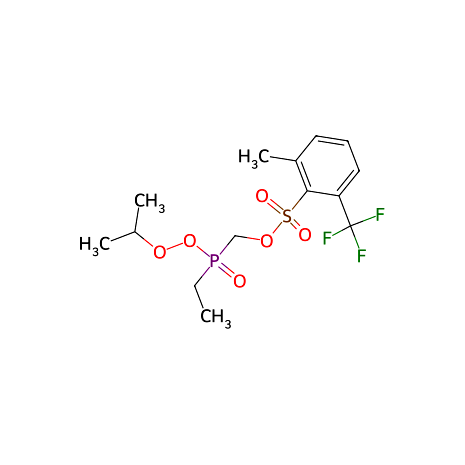 CCP(=O)(COS(=O)(=O)c1c(C)cccc1C(F)(F)F)OOC(C)C